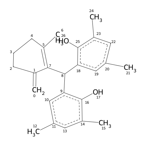 C=C1CCCC(C)=C1C(c1cc(C)cc(C)c1O)c1cc(C)cc(C)c1O